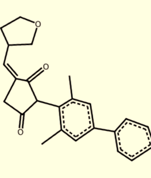 Cc1cc(-c2ccccc2)cc(C)c1C1C(=O)CC(=CC2CCOC2)C1=O